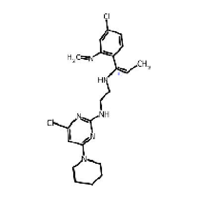 C=Nc1cc(Cl)ccc1/C(=C\C)NCCNc1nc(Cl)cc(N2CCCCC2)n1